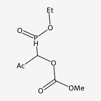 CCO[PH](=O)C(OC(=O)OC)C(C)=O